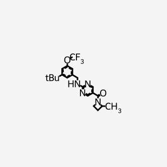 CC1CCN1C(=O)c1cnc(NCc2cc(OC(F)(F)F)cc(C(C)(C)C)c2)nc1